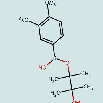 COc1ccc(B(O)OC(C)(C)C(C)(C)O)cc1OC(C)=O